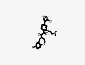 CN(C)CCn1nc(C(=O)C2CCOc3ccc(F)cc3C2)c2ccc(-c3c[nH]nc3Cl)cc21